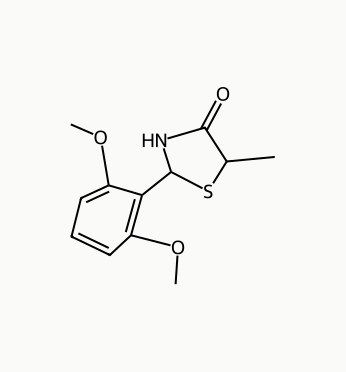 COc1cccc(OC)c1C1NC(=O)C(C)S1